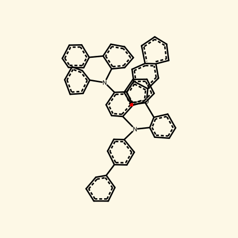 c1ccc(-c2ccc(N(c3ccccc3-c3ccccc3)c3ccc(N(c4ccccc4)c4ccccc4-c4ccccc4)c4c3oc3cc5ccccc5cc34)cc2)cc1